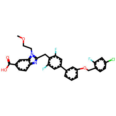 COCCn1c(Cc2c(F)cc(-c3cccc(OCc4ccc(Cl)cc4F)c3)cc2F)nc2ccc(C(=O)O)cc21